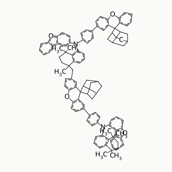 CC1(C)CCC(C)(C)c2c(N(c3ccc(-c4ccc5c(c4)C4(c6cc(CC7(C)CCC(C)(C)c8c(N(c9ccc(-c%10ccc%11c(c%10)C%10(c%12ccccc%12O%11)C%11CC%12CC%13CC%10C%13%11C%12)cc9)c9ccc%10oc%11ccccc%11c%10c9)cccc87)ccc6O5)C5CC6CC7CC4C75C6)cc3)c3cccc4oc5ccccc5c34)cccc21